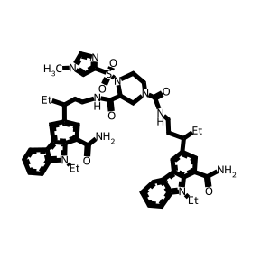 CCC(CCNC(=O)C1CN(C(=O)NCCC(CC)c2cc(C(N)=O)c3c(c2)c2ccccc2n3CC)CCN1S(=O)(=O)c1cn(C)cn1)c1cc(C(N)=O)c2c(c1)c1ccccc1n2CC